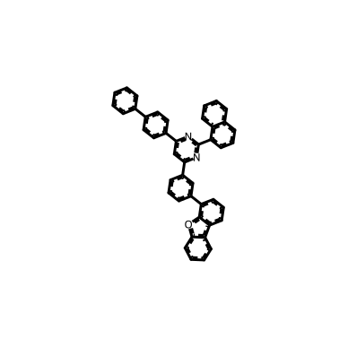 c1ccc(-c2ccc(-c3cc(-c4cccc(-c5cccc6c5oc5ccccc56)c4)nc(-c4cccc5ccccc45)n3)cc2)cc1